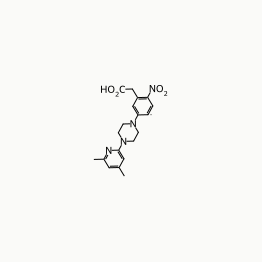 Cc1cc(C)nc(N2CCN(c3[c]cc([N+](=O)[O-])c(CC(=O)O)c3)CC2)c1